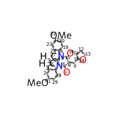 COc1ccc(N2C(=O)C(=Cc3ccco3)C(=O)N(c3ccc(OC)cc3)C2(C)C)cc1